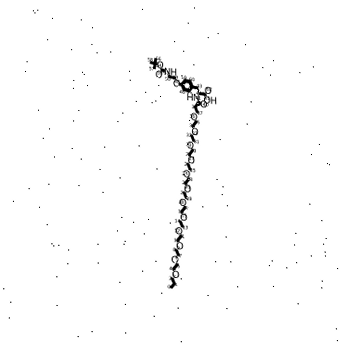 CCCOCCOCCOCCOCCOCCOCCOCCOCCOCCOCCOCCOCCC(=O)N[C@@H](Cc1ccc(OCCNC(=O)OC(C)(C)C)cc1)C(=O)O